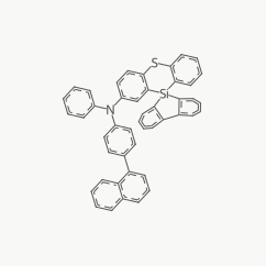 c1ccc(N(c2ccc(-c3cccc4ccccc34)cc2)c2ccc3c(c2)[Si]2(c4ccccc4S3)c3ccccc3-c3ccccc32)cc1